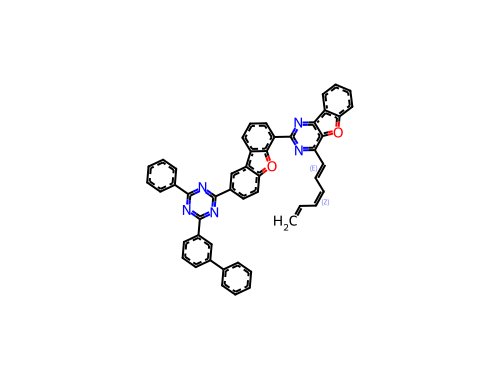 C=C/C=C\C=C\c1nc(-c2cccc3c2oc2ccc(-c4nc(-c5ccccc5)nc(-c5cccc(-c6ccccc6)c5)n4)cc23)nc2c1oc1ccccc12